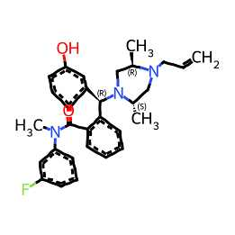 C=CCN1C[C@H](C)N([C@H](c2cccc(O)c2)c2ccccc2C(=O)N(C)c2cccc(F)c2)C[C@H]1C